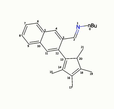 CCCCN=Cc1cc2ccccc2cc1C1=C(C)C(C)=C(C)C1C